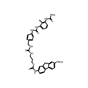 CNC(=O)Nc1cccc(NC(=O)Nc2ccc(CNC(=O)NCCCOC(=O)Nc3ccc4c(c3)Cc3cc(OC#N)ccc3-4)cc2)c1C